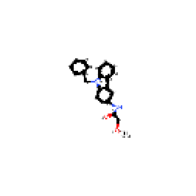 COCC(=O)Nc1ccc2c(c1)c1ccccc1n2Cc1ccccc1